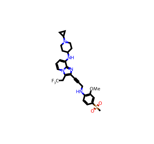 COc1cc(S(C)(=O)=O)ccc1NCC#Cc1nc2c(NC3CCN(C4CC4)CC3)cccn2c1CC(F)(F)F